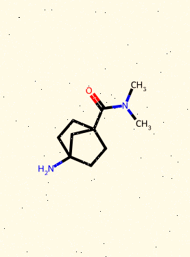 CN(C)C(=O)C12CCC(N)(CC1)C2